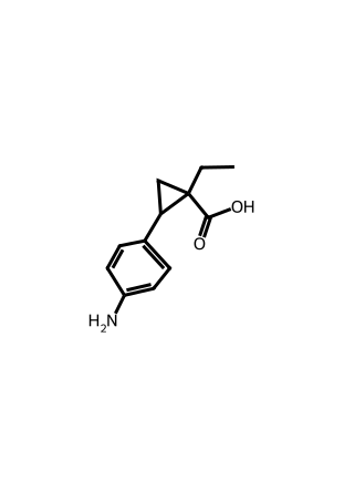 CCC1(C(=O)O)CC1c1ccc(N)cc1